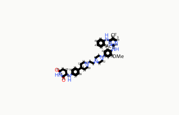 COc1cc(N2CCN(CCN3CCC(c4ccc(NC5CCC(=O)NC5=O)cc4)CC3)CC2)ccc1Nc1ncc(C(F)(F)F)c(Nc2ccccc2C(C)=O)n1